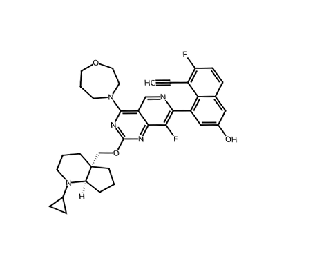 C#Cc1c(F)ccc2cc(O)cc(-c3ncc4c(N5CCCOCC5)nc(OC[C@]56CCC[C@H]5N(C5CC5)CCC6)nc4c3F)c12